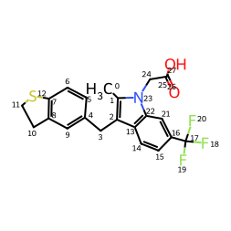 Cc1c(Cc2ccc3c(c2)CCS3)c2ccc(C(F)(F)F)cc2n1CC(=O)O